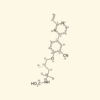 C=Cc1nccc(-c2ccc(OC[C@@H](C)CC(C)(C)NC(=O)O)c(C#N)c2)n1